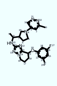 Cc1cc(N2CCC(C(C)Nc3nc4n(n3)CCCC4Oc3cc(F)cc(F)c3)C2)cnn1